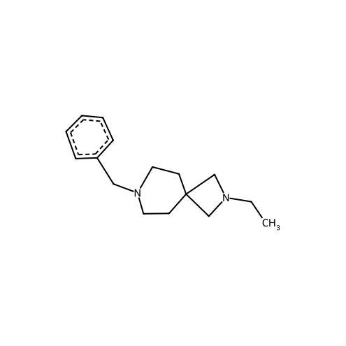 CCN1CC2(CCN(Cc3ccccc3)CC2)C1